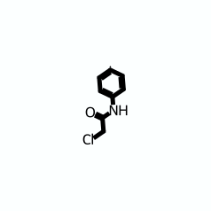 O=C(CCl)Nc1cc[c]cc1